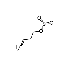 C=CCCO[SH](=O)=O